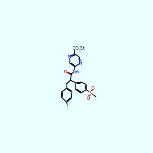 CCOC(=O)c1cnc(NC(=O)C(Cc2ccc(F)cc2)c2ccc(S(C)(=O)=O)cc2)cn1